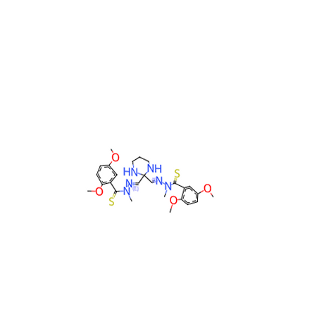 COc1ccc(OC)c(C(=S)N(C)/N=C/C2(/C=N/N(C)C(=S)c3cc(OC)ccc3OC)NCCCN2)c1